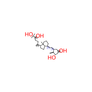 C=C1/C(=C\C=C2/CCCC3(C)C2CCC3[C@@H](C)CC[C@@H](O)C(C)(C)O)C[C@H](O)CC1O